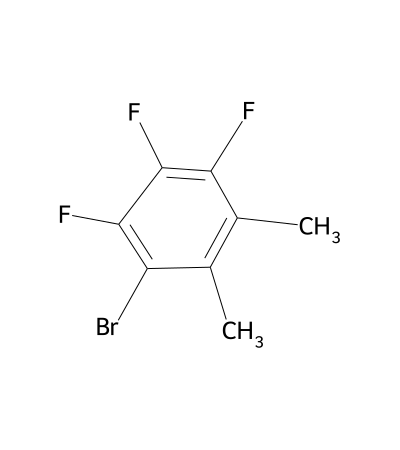 Cc1c(C)c(Br)c(F)c(F)c1F